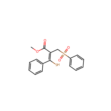 COC(=O)C(CS(=O)(=O)c1ccccc1)=C(S)c1ccccc1